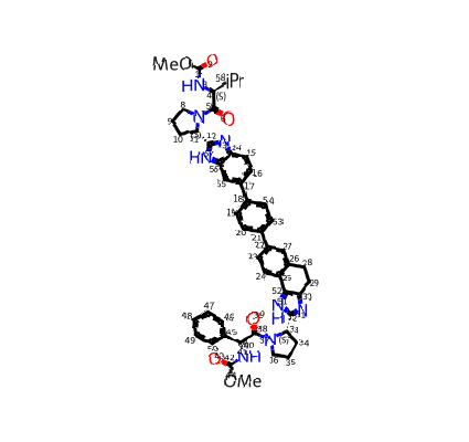 COC(=O)N[C@H](C(=O)N1CCC[C@H]1c1nc2ccc(-c3ccc(-c4ccc5c(c4)CCc4nc([C@@H]6CCCN6C(=O)[C@H](NC(=O)OC)c6ccccc6)[nH]c4-5)cc3)cc2[nH]1)C(C)C